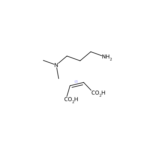 CN(C)CCCN.O=C(O)/C=C\C(=O)O